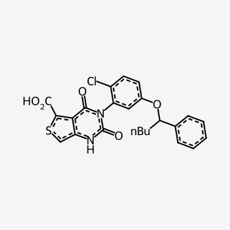 CCCCC(Oc1ccc(Cl)c(-n2c(=O)[nH]c3csc(C(=O)O)c3c2=O)c1)c1ccccc1